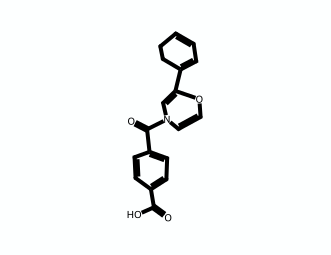 O=C(O)c1ccc(C(=O)N2C=COC(C3=CC=CCC3)=C2)cc1